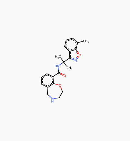 Cc1cccc2c(C(C)(C)NC(=O)c3cccc4c3OCCNC4)noc12